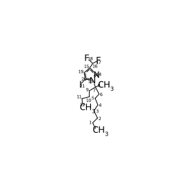 CCCCCCCC(C)(CCCC)n1nc(C(F)F)cc1I